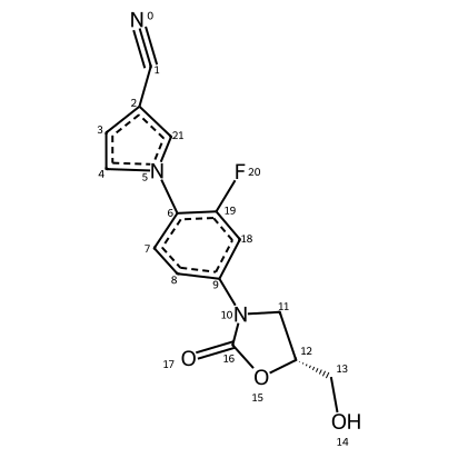 N#Cc1ccn(-c2ccc(N3C[C@H](CO)OC3=O)cc2F)c1